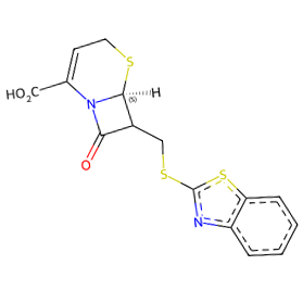 O=C(O)C1=CCS[C@H]2C(CSc3nc4ccccc4s3)C(=O)N12